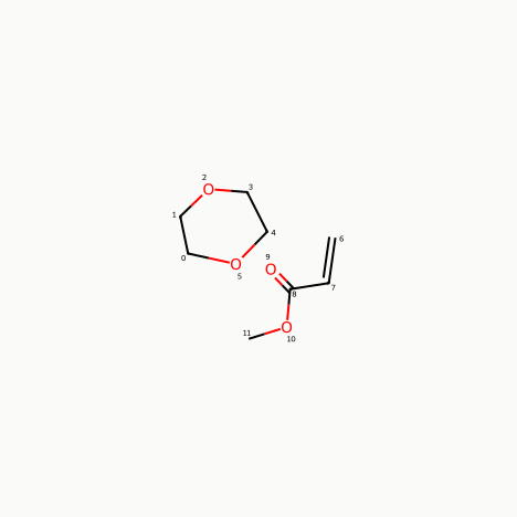 C1COCCO1.C=CC(=O)OC